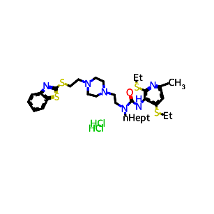 CCCCCCCN(CCN1CCN(CCSc2nc3ccccc3s2)CC1)C(=O)Nc1c(SCC)cc(C)nc1SCC.Cl.Cl